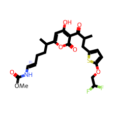 COC(=O)N/C=C/CCC(C)c1cc(O)c(C(=O)C(C)Cc2ccc(OCC(F)F)s2)c(=O)o1